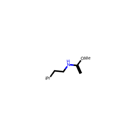 C=C(NCCC(C)C)OC